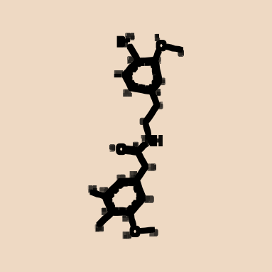 COc1cc(CCNC(=O)Cc2cc(C)c(C)c(OC)c2)ccc1Br